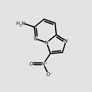 Nc1ccc2ncc([N+](=O)[O-])n2n1